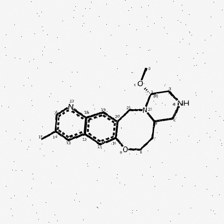 CO[C@@H]1CNCC2CCOc3cc4cc(C)cnc4cc3CN21